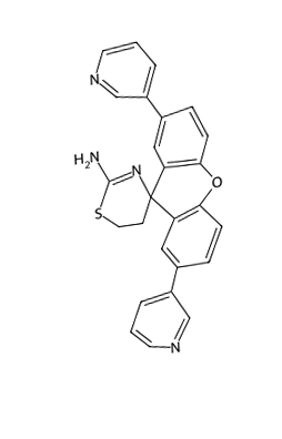 NC1=NC2(CCS1)c1cc(-c3cccnc3)ccc1Oc1ccc(-c3cccnc3)cc12